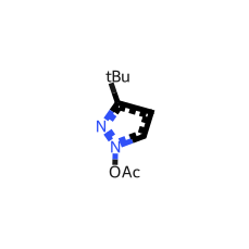 CC(=O)On1ccc(C(C)(C)C)n1